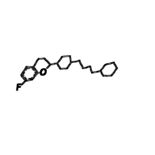 Fc1ccc2c(c1)OC(C1CCC(CCCCC3CCCCC3)CC1)CC2